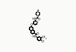 CN1CCN(C(=O)Nc2cc(Oc3ccc4ccc(C(=O)Nc5ccc(Cl)c(C(F)(F)F)c5)cc4c3)ccn2)CC1